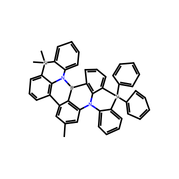 Cc1cc2c3c(c1)N1c4ccccc4[Si](c4ccccc4)(c4ccccc4)c4cccc(c41)B3N1c3ccccc3[Si](C)(C)c3cccc-2c31